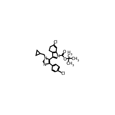 CC(C)(C)OC(=O)n1cc(-c2c(-c3ccc(Cl)cc3)ncn2CC2CC2)c2c1C=C(Cl)CC2